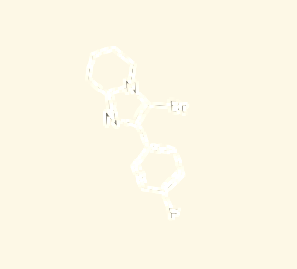 Fc1ccc(-c2nc3n(c2Br)CCCC3)cc1